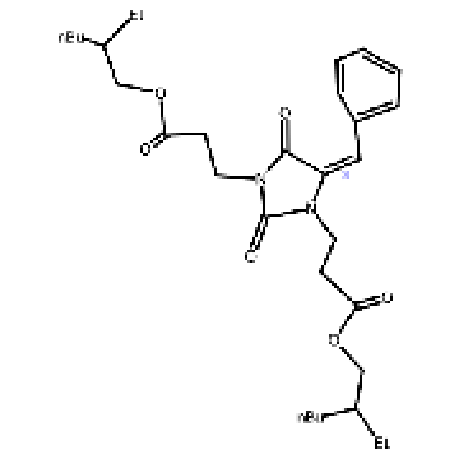 CCCCC(CC)COC(=O)CCN1C(=O)/C(=C\c2ccccc2)N(CCC(=O)OCC(CC)CCCC)C1=O